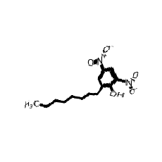 CCCCCCCCc1cc([N+](=O)[O-])cc([N+](=O)[O-])c1O